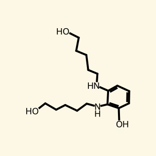 OCCCCCNc1cccc(O)c1NCCCCCO